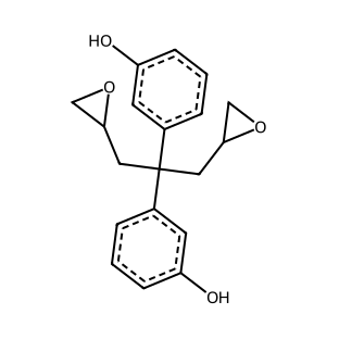 Oc1cccc(C(CC2CO2)(CC2CO2)c2cccc(O)c2)c1